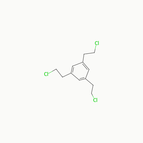 ClCCc1cc(CCCl)cc(CCCl)c1